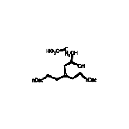 CC(=O)O.CCCCCCCCCCCCN(CCCCCCCCCCCC)CC(O)O